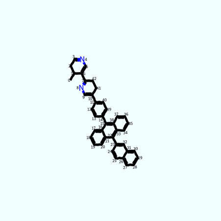 CC1CC=NC=C1C1=NC=C(c2ccc(-c3c4ccccc4c(-c4ccc5ccccc5c4)c4ccccc34)cc2)CC1